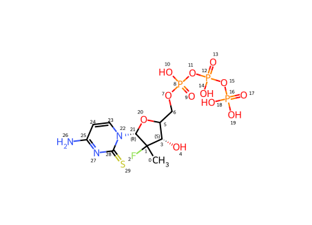 CC1(F)[C@@H](O)C(COP(=O)(O)OP(=O)(O)OP(=O)(O)O)O[C@H]1n1ccc(N)nc1=S